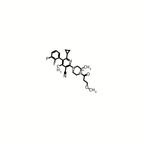 COCCC(=O)N1CCN(c2nc(C3CC3)c(-c3cccc(F)c3F)c(C)c2C#N)C[C@H]1C